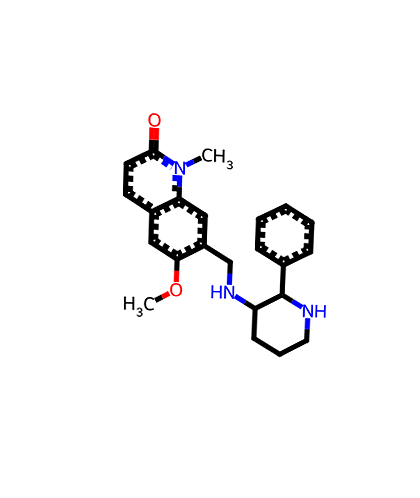 COc1cc2ccc(=O)n(C)c2cc1CNC1CCCNC1c1ccccc1